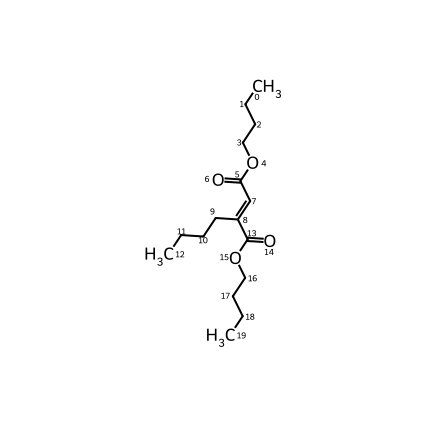 CCCCOC(=O)/C=C(\CCCC)C(=O)OCCCC